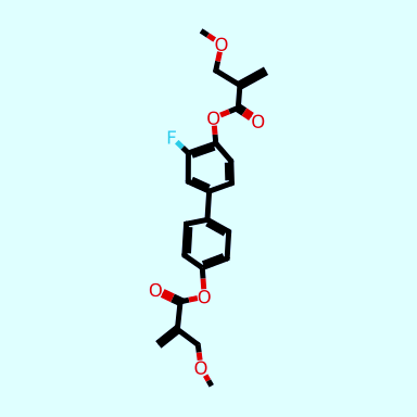 C=C(COC)C(=O)Oc1ccc(-c2ccc(OC(=O)C(=C)COC)c(F)c2)cc1